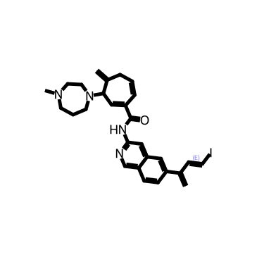 C=C(/C=C/I)c1ccc2cnc(NC(=O)C3=CC(N4CCCN(C)CC4)C(=C)CC=C3)cc2c1